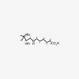 CCCCC(C)(C)[C@@H](CCC)CNCCCCCC(=O)O